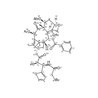 CCCCSC(=O)N[C@@H](c1ccco1)[C@@H](O)C(=O)O[C@H]1C[C@@]2(O)[C@@H](OC(=O)c3ccccc3)[C@@H]3C4(OC(C)=O)CO[C@@H]4C[C@H](OC)[C@@]3(C)C(=O)[C@H](OC(C)=O)C(=C1C)C2(C)C